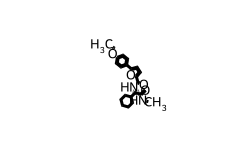 CCOc1ccc(-c2ccc(C(=O)N[C@H](C(=O)NC)C3CCCCC3)o2)cc1